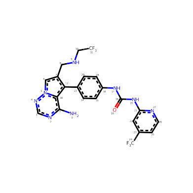 Nc1ncnn2cc(CNCC(F)(F)F)c(-c3ccc(NC(=O)Nc4cc(C(F)(F)F)ccn4)cc3)c12